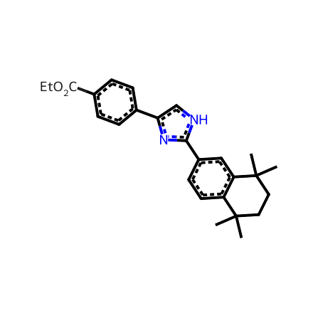 CCOC(=O)c1ccc(-c2c[nH]c(-c3ccc4c(c3)C(C)(C)CCC4(C)C)n2)cc1